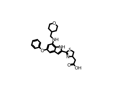 O=C(O)CC1CSC(c2cc3cc(Oc4ccccc4)cc(NCC4CCOCC4)c3[nH]2)=N1